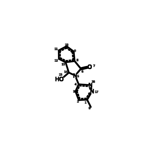 Cc1ccc(N2C(=O)c3ccccc3C2O)nn1